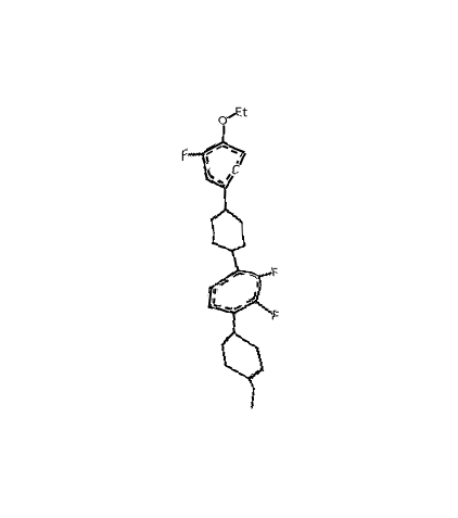 CCOc1ccc(C2CCC(c3ccc(C4CCC(C)CC4)c(F)c3F)CC2)cc1F